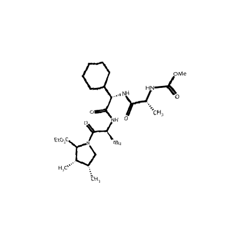 CCOC(=O)C1[C@@H](C)[C@@H](C)CN1C(=O)[C@@H](NC(=O)[C@@H](NC(=O)[C@@H](C)NC(=O)OC)C1CCCCC1)C(C)(C)C